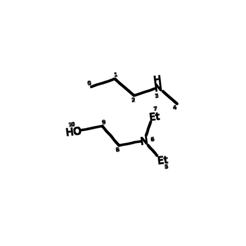 CCCNC.CCN(CC)CCO